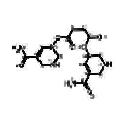 NC(=O)C1=CN(OC(=O)/C=C\C(=O)ON2C=C(C(N)=O)CNC2)CNC1